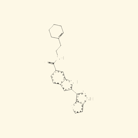 O=C(NCCC1=CCCCC1)c1ccc2cc(-c3n[nH]c4ccsc34)[nH]c2c1